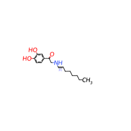 CCCCCC/C=C/NCC(=O)c1ccc(O)c(O)c1